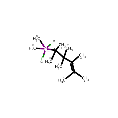 CC(C)=C(C)C(C)(C)C(C)(C)P(C)(C)(F)F